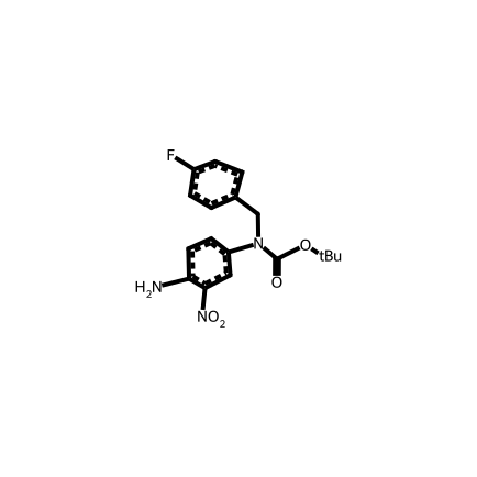 CC(C)(C)OC(=O)N(Cc1ccc(F)cc1)c1ccc(N)c([N+](=O)[O-])c1